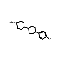 CCCCC[C@H]1CC[C@H]([C@H]2CC[C@H](c3ccc(C#N)cc3)CC2)CC1